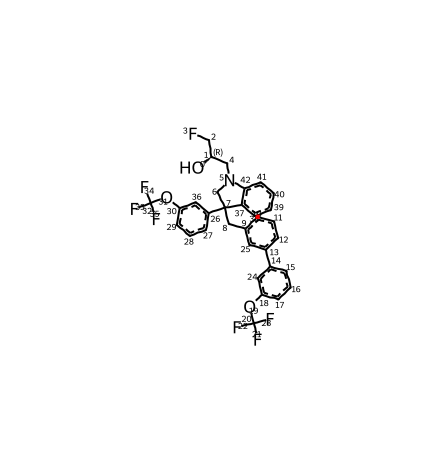 O[C@@H](CF)CN1CC(Cc2cccc(-c3cccc(OC(F)(F)F)c3)c2)(c2cccc(OC(F)(F)F)c2)c2ccccc21